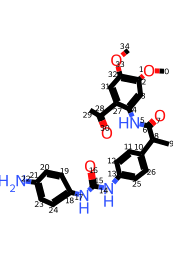 COc1cc(NC(=O)C(C)c2ccc(NC(=O)Nc3ccc(N)cc3)cc2)c(C(C)=O)cc1OC